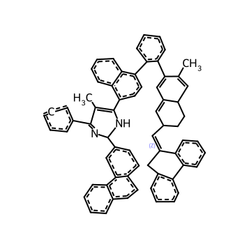 CC1=CC2CCC(/C=C3/Cc4ccccc4-c4ccccc43)C=C2C=C1c1ccccc1-c1ccc(C2=C(C)C(c3ccccc3)=NC(c3ccc4ccc5ccccc5c4c3)N2)c2ccccc12